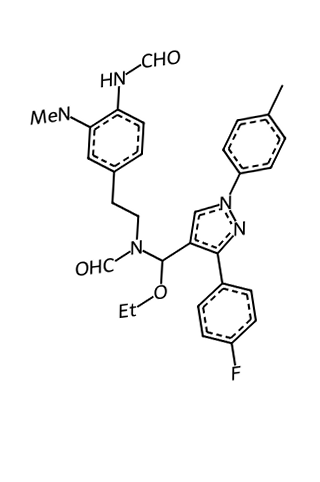 CCOC(c1cn(-c2ccc(C)cc2)nc1-c1ccc(F)cc1)N(C=O)CCc1ccc(NC=O)c(NC)c1